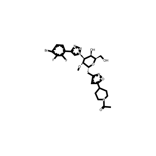 CO[C@@H]1[C@@H](n2cc(-c3ccc(Br)c(F)c3F)nn2)[C@@H](O)[C@@H](CO)O[C@@H]1Cc1cc(C2CCN(C(C)=O)CC2)on1